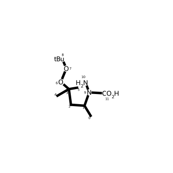 CC(CC(C)(C)OOC(C)(C)C)N(N)C(=O)O